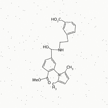 COC(=O)c1ccc(C(O)NCCc2cccc(C(=O)O)c2)cc1-n1c(C)ccc1C